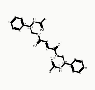 CC(=O)N[C@@H](COC(=O)/C=C/C(=O)OC[C@H](NC(C)=O)c1ccccc1)c1ccccc1